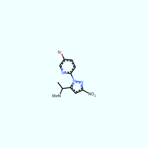 CNC(C)c1cc([N+](=O)[O-])nn1-c1ccc(Br)cn1